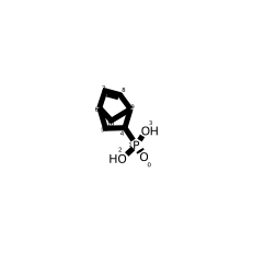 O=P(O)(O)C1CC2C=CC1C2